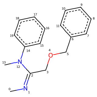 C/N=C(/COCc1ccccc1)N(C)c1ccccc1